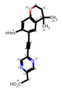 CCCCCCc1cc2c(cc1C#Cc1cnc(CC(=O)O)cn1)C(C)(C)CCO2